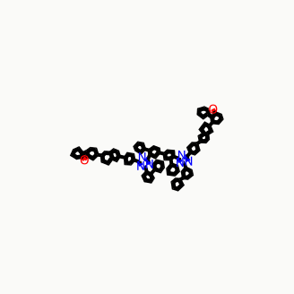 c1ccc(-c2cccc(-c3nc(-c4ccc(-c5ccc6cc(-c7cccc8oc9ccccc9c78)ccc6c5)cc4)nc(-c4ccc(-c5ccc(-c6ccccc6)c(-c6nc(-c7ccc(-c8ccc9cc(-c%10ccc%11c(c%10)oc%10ccccc%10%11)ccc9c8)cc7)nc(-c7ccccc7-c7ccccc7)n6)c5)cc4-c4ccccc4)n3)c2)cc1